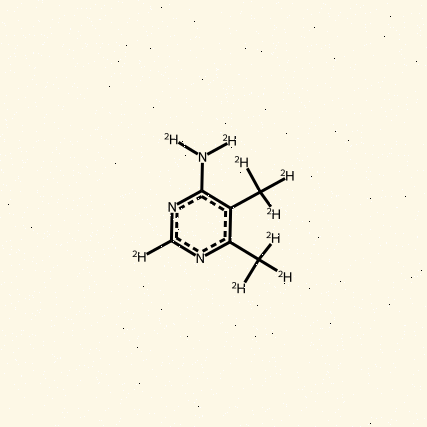 [2H]c1nc(N([2H])[2H])c(C([2H])([2H])[2H])c(C([2H])([2H])[2H])n1